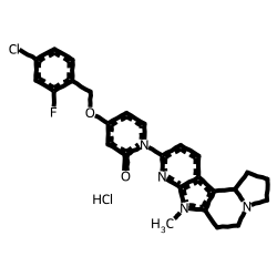 Cl.Cn1c2c(c3ccc(-n4ccc(OCc5ccc(Cl)cc5F)cc4=O)nc31)C1CCCN1CC2